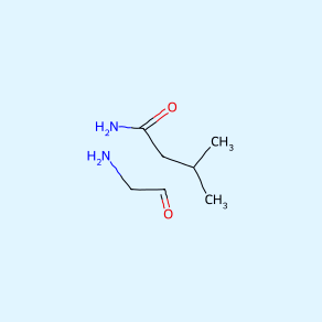 CC(C)CC(N)=O.NCC=O